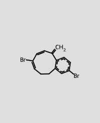 C=C1/C=C\C(Br)=C/CCc2cc(Br)ccc21